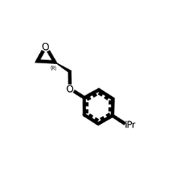 CC(C)c1ccc(OC[C@H]2CO2)cc1